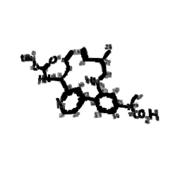 C=CC[C@H](NC(=O)OC(C)(C)C)c1cc(-c2ccc(N(C)C(=O)O)cc2NC[C@H](C)C=C)ccn1